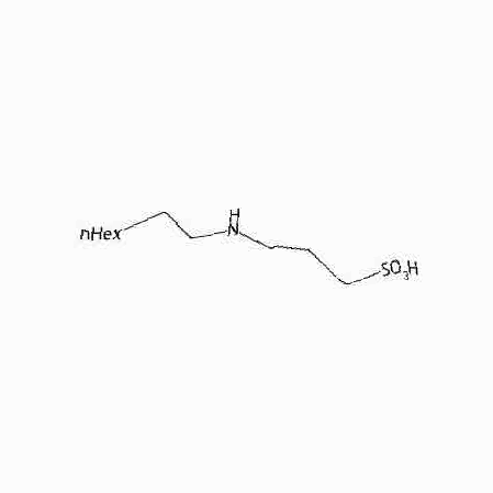 CCCCCCCCNCCCS(=O)(=O)O